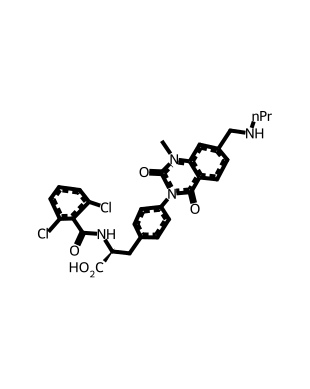 CCCNCc1ccc2c(=O)n(-c3ccc(C[C@H](NC(=O)c4c(Cl)cccc4Cl)C(=O)O)cc3)c(=O)n(C)c2c1